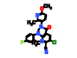 COc1ccc(N2CN(c3ccc(F)cc3C)c3nc(C#N)c(Cl)cc3C2=O)c(C)n1